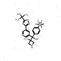 CC(C)(O)c1nc(-c2cncc(C(O)(c3ccc(S(F)(F)(F)(F)F)cc3)C3(C)CNC3)c2)no1